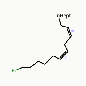 CCCCCCCC/C=C\C/C=C\CCCCCBr